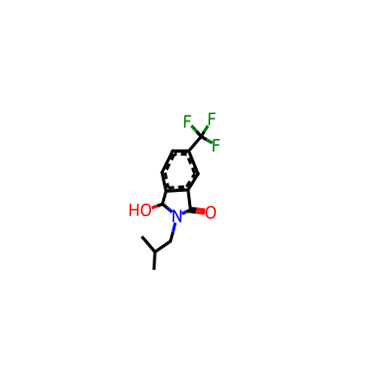 CC(C)CN1C(=O)c2cc(C(F)(F)F)ccc2C1O